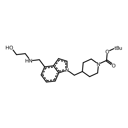 CC(C)(C)OC(=O)N1CCC(Cn2ccc3c(CNCCO)cccc32)CC1